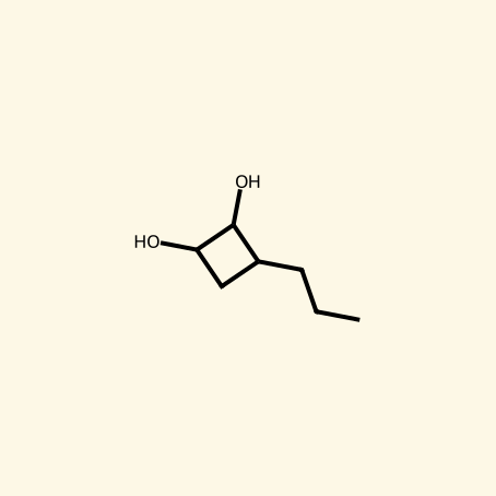 CCCC1CC(O)C1O